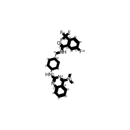 CN(C)c1nc(N[C@H]2CC[C@@H](CNC(=O)c3cc(F)ccc3C(F)(F)F)CC2)nc2ccccc12